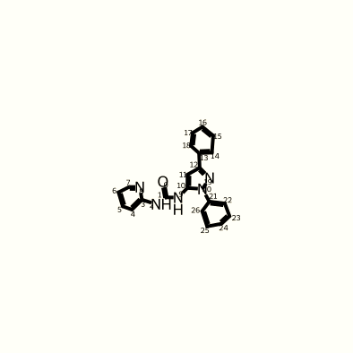 O=C(Nc1ccccn1)Nc1cc(-c2ccccc2)nn1-c1ccccc1